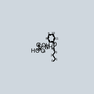 CCCCCOc1ccccc1.N.O=S(=O)(O)O